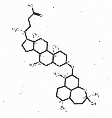 C[C@H]1C(O[C@@H]2CC[C@@]3(C)C(C2)C[C@@H](O)C2C3CC[C@@]3(C)C2CCC3[C@H](C)CCC(=O)O)CC2O[C@@](C)(O)CCC3C2C1CC[C@H]3C